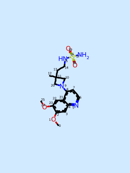 COc1cc2nccc(N3CC(C)(CCNS(N)(=O)=O)C3)c2cc1OC